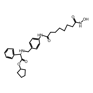 O=C(CCCCCCC(=O)Nc1ccc(CN[C@H](C(=O)OC2CCCC2)c2ccccc2)cc1)NO